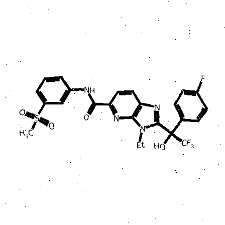 CCn1c(C(O)(c2ccc(F)cc2)C(F)(F)F)nc2ccc(C(=O)Nc3cccc(S(C)(=O)=O)c3)nc21